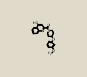 O=C(c1cc(O)c2ccccc2n1)N1CCC(Oc2cccc(OC(F)(F)F)c2)CC1